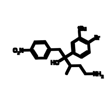 CC(CCN)C(O)(Cc1ccc([N+](=O)[O-])cc1)c1ccc(Br)c(C(C)(C)C)c1